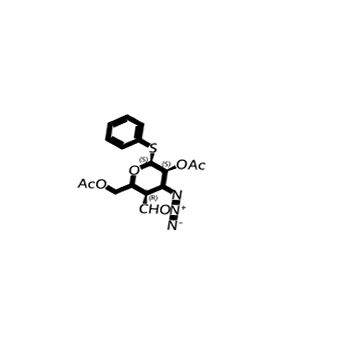 CC(=O)OCC1O[C@@H](Sc2ccccc2)[C@@H](OC(C)=O)C(N=[N+]=[N-])[C@H]1C=O